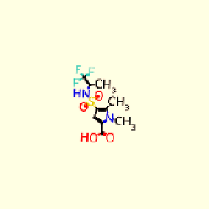 Cc1c(S(=O)(=O)NC(C)C(F)(F)F)cc(C(=O)O)n1C